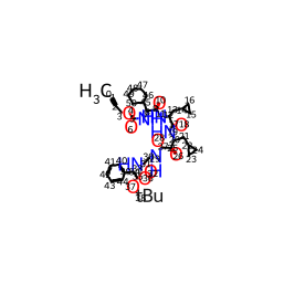 CC#CCOC(=O)NC(C(=O)NC(CC1CC1)C(=O)NC(CC1CC1)C(=O)C(=O)NCC(=O)NC(C(=O)OC(C)(C)C)c1ccccc1)C1CCCCC1